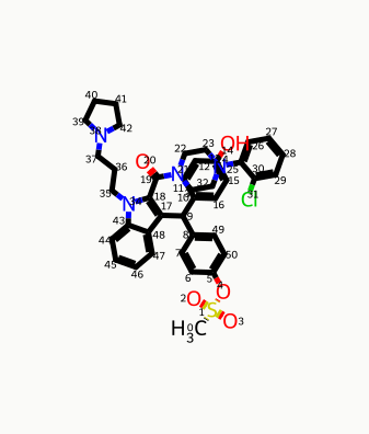 CS(=O)(=O)Oc1ccc(C(c2ccc(O)cc2)c2c(C(=O)N3CCN(c4ccccc4Cl)CC3)n(CCCN3CCCC3)c3ccccc23)cc1